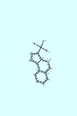 FC(F)(F)c1nnc2c3ccccc3coc1-2